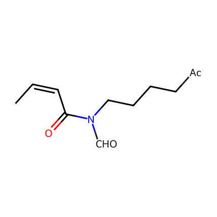 C/C=C\C(=O)N(C=O)CCCCC(C)=O